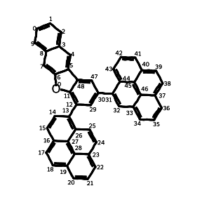 c1ccc2cc3c(cc2c1)oc1c(-c2ccc4ccc5cccc6ccc2c4c56)cc(-c2cc4cccc5ccc6cccc2c6c54)cc13